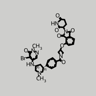 CN1C[C@H](Nc2cnn(C)c(=O)c2Br)C[C@H](c2ccc(C(=O)N3CC(Oc4cccc5c4C(=O)N(C4CCC(=O)NC4=O)C5=O)C3)cc2)C1